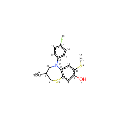 CCCCC1CSc2cc(O)c(SCC)cc2N(c2ccc(F)cc2)C1